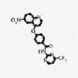 O=C(Nc1nccc(C(F)(F)F)n1)c1ccc(Oc2ccnc3ccc([N+](=O)[O-])cc23)cc1